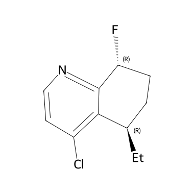 CC[C@@H]1CC[C@@H](F)c2nccc(Cl)c21